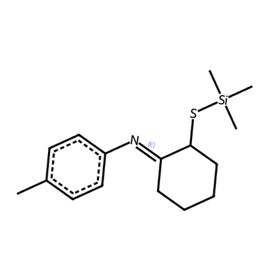 Cc1ccc(/N=C2\CCCCC2S[Si](C)(C)C)cc1